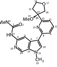 CNC(=O)Nc1cc2c(-c3cccc([C@]4(OC)CCOC4)n3)cn(C)c2cn1